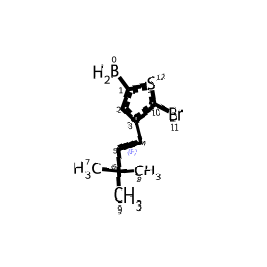 Bc1cc(/C=C/C(C)(C)C)c(Br)s1